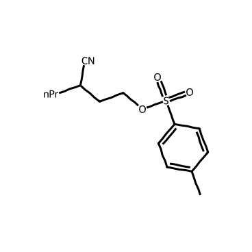 CCCC(C#N)CCOS(=O)(=O)c1ccc(C)cc1